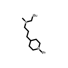 CCC(C)CN(C)CCCC1CCN(C(C)C)CC1